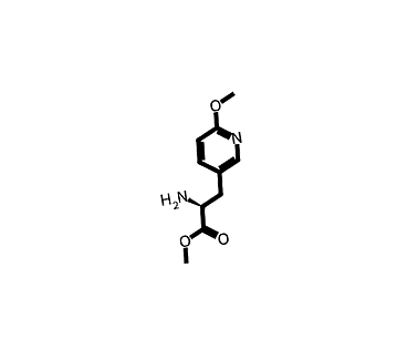 COC(=O)[C@@H](N)Cc1ccc(OC)nc1